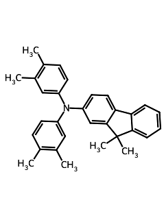 Cc1ccc(N(c2ccc(C)c(C)c2)c2ccc3c(c2)C(C)(C)c2ccccc2-3)cc1C